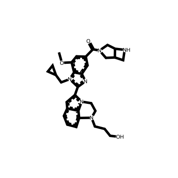 COc1cc(C(=O)N2CC3CNC3C2)cc2nc(-c3cc4cccc5c4n3CCN5CCCO)n(CC3CC3)c12